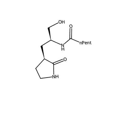 CCCCCC(=O)N[C@H](CO)C[C@@H]1CCNC1=O